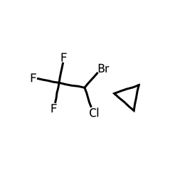 C1CC1.FC(F)(F)C(Cl)Br